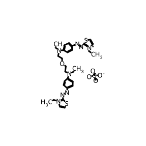 CCN(CCOCCN(CC)c1ccc(N=Nc2scc[n+]2CC)cc1)c1ccc(N=Nc2scc[n+]2CC)cc1.O=S(=O)([O-])[O-]